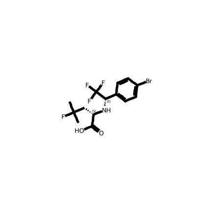 CC(C)(F)C[C@H](N[C@@H](c1ccc(Br)cc1)C(F)(F)F)C(=O)O